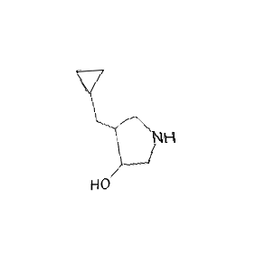 OC1CNCC1CC1CC1